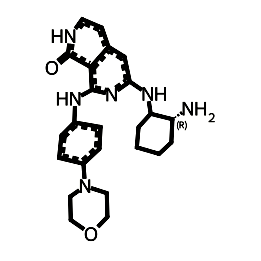 N[C@@H]1CCCCC1Nc1cc2cc[nH]c(=O)c2c(Nc2ccc(N3CCOCC3)cc2)n1